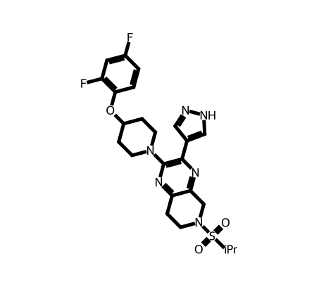 CC(C)S(=O)(=O)N1CCc2nc(N3CCC(Oc4ccc(F)cc4F)CC3)c(-c3cn[nH]c3)nc2C1